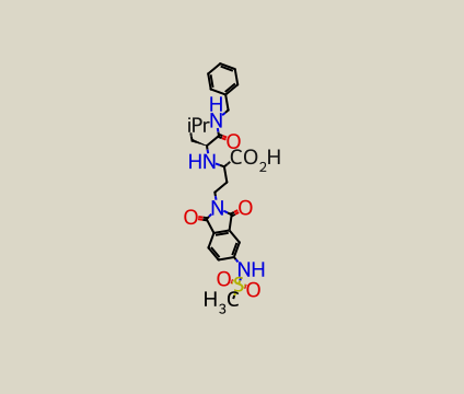 CC(C)C[C@H](NC(CCN1C(=O)c2ccc(NS(C)(=O)=O)cc2C1=O)C(=O)O)C(=O)NCc1ccccc1